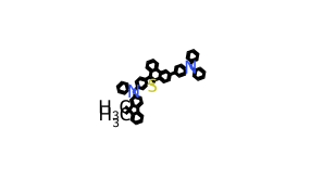 CC1(C)c2ccccc2-c2ccc(N(c3ccccc3)c3ccc4c(c3)sc3c5ccc(-c6ccc(N(c7ccccc7)c7ccccc7)cc6)cc5c5ccccc5c43)cc21